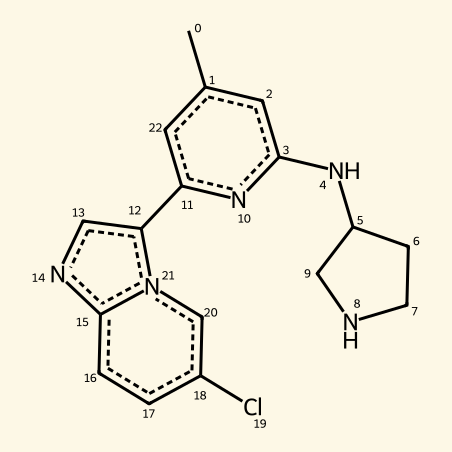 Cc1cc(NC2CCNC2)nc(-c2cnc3ccc(Cl)cn23)c1